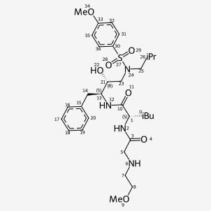 CCC(C)[C@H](NC(=O)CNCCOC)C(=O)N[C@@H](Cc1ccccc1)[C@H](O)CN(CC(C)C)S(=O)(=O)c1ccc(OC)cc1